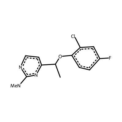 CNc1nccc(C(C)Oc2ccc(F)cc2Cl)n1